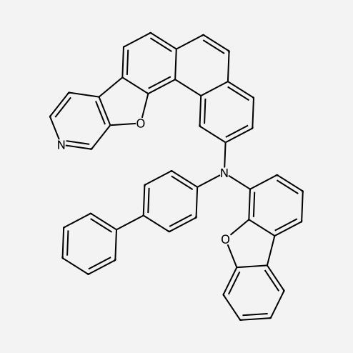 c1ccc(-c2ccc(N(c3ccc4ccc5ccc6c7ccncc7oc6c5c4c3)c3cccc4c3oc3ccccc34)cc2)cc1